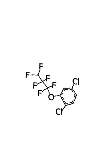 FC(F)C(F)(F)C(F)(F)Oc1cc(Cl)ccc1Cl